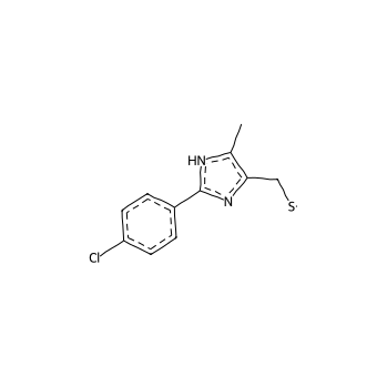 Cc1[nH]c(-c2ccc(Cl)cc2)nc1C[S]